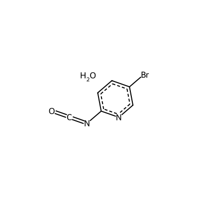 O.O=C=Nc1ccc(Br)cn1